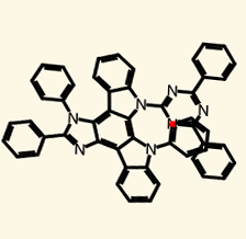 c1ccc(-c2nc(-c3ccccc3)nc(-n3c4ccccc4c4c5c(nc(-c6ccccc6)n5-c5ccccc5)c5c6ccccc6n(-c6ccccc6)c5c43)n2)cc1